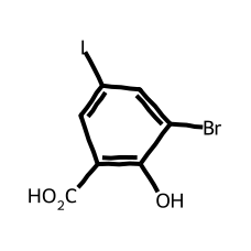 O=C(O)c1cc(I)cc(Br)c1O